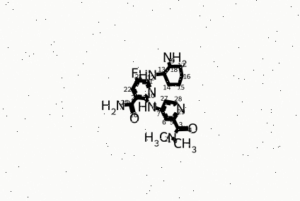 CN(C)C(=O)c1cc(Nc2nc(NC3CCCCC3N)c(F)cc2C(N)=O)ccn1